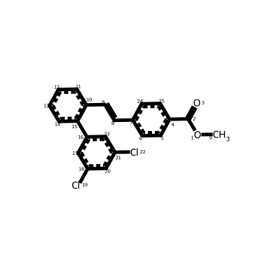 COC(=O)c1ccc(C=Cc2ccccc2-c2cc(Cl)cc(Cl)c2)cc1